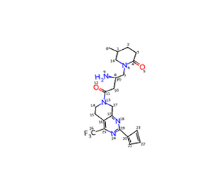 CC1CCC(=O)N(C[C@H](N)CC(=O)N2CCc3c(nc(C4=CC=C4)nc3C(F)(F)F)C2)C1